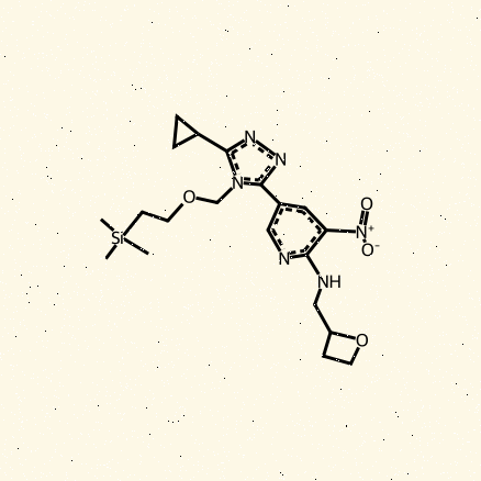 C[Si](C)(C)CCOCn1c(-c2cnc(NCC3CCO3)c([N+](=O)[O-])c2)nnc1C1CC1